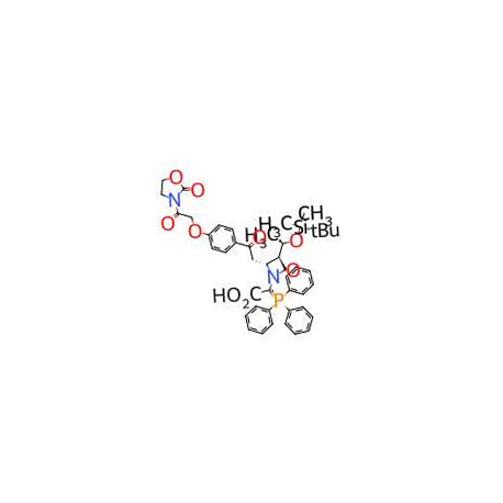 C[C@@H](O[Si](C)(C)C(C)(C)C)[C@H]1C(=O)N(C(C(=O)O)=P(c2ccccc2)(c2ccccc2)c2ccccc2)[C@@H]1CC(=O)c1ccc(OCC(=O)N2CCOC2=O)cc1